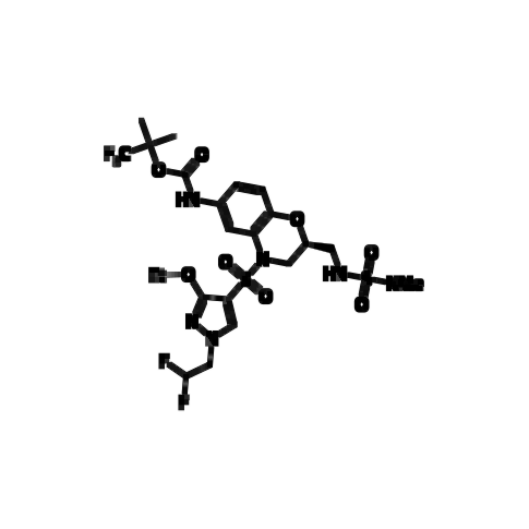 CCOc1nn(CC(F)F)cc1S(=O)(=O)N1C[C@H](CNS(=O)(=O)NC)Oc2ccc(NC(=O)OC(C)(C)C(F)(F)F)cc21